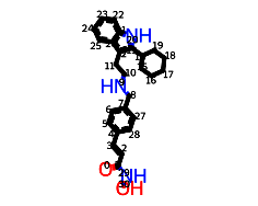 O=C(/C=C/c1ccc(CNCCc2c(C3CCCCC3)[nH]c3ccccc23)cc1)NO